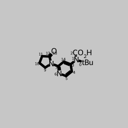 CC(C)(C)N(C(=O)O)c1ccnc(N2CCCC2=O)c1